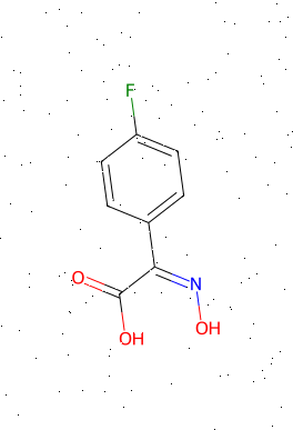 O=C(O)C(=NO)c1ccc(F)cc1